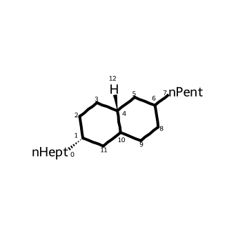 CCCCCCC[C@@H]1CC[C@@H]2CC(CCCCC)CCC2C1